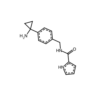 NC1(c2ccc(CNC(=O)c3ccc[nH]3)cc2)CC1